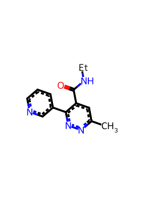 CCNC(=O)c1cc(C)nnc1-c1cccnc1